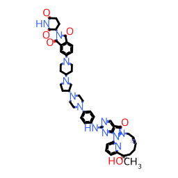 C[C@@]1(O)CC/C=C\Cn2c(=O)c3cnc(Nc4ccc(N5CCN(C6CCN(C7CCN(c8ccc9c(c8)C(=O)N(C8CCC(=O)NC8=O)C9=O)CC7)C6)CC5)cc4)nc3n2-c2cccc1n2